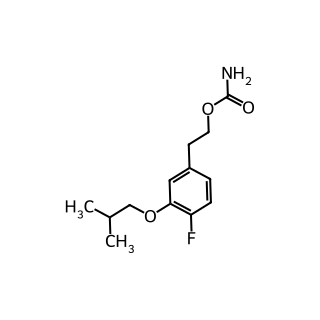 CC(C)COc1cc(CCOC(N)=O)ccc1F